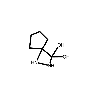 OC1(O)NNC12CCCC2